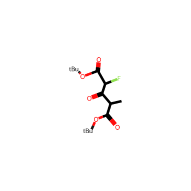 CC(C(=O)OC(C)(C)C)C(=O)C(F)C(=O)OC(C)(C)C